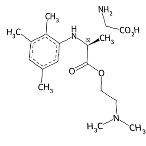 Cc1cc(C)c(C)c(N[C@@H](C)C(=O)OCCN(C)C)c1.NCC(=O)O